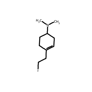 CN(C)C1CC=C(CCI)CC1